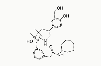 C[C@H](Cc1cccc(CC(=O)NC2CCCCCC2)c1)NC[C@H](CC(C)(C)[Si](C)(C)O)c1ccc(O)c(CO)c1